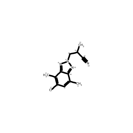 Cc1cc(Cl)c(C)c2nn(CC(C)C#N)nc12